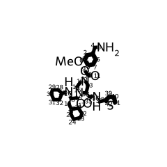 COc1cc(CN)ccc1OC(=O)N1CCN(C(=O)[C@@H](CC2CCCCC2)NC2CCCCC2)[C@H](C(=O)NCc2cccs2)C1